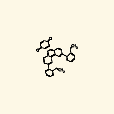 C=Cc1ccccc1-c1ccc2ccc3ccc(-c4ccccc4C=C)cc3c2c1.O=C1C=CC(=O)C=C1